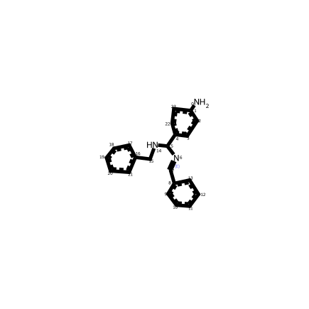 Nc1ccc(C(/N=C/c2ccccc2)NCc2ccccc2)cc1